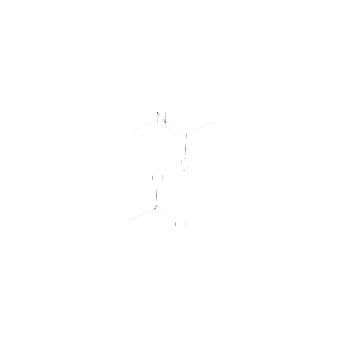 C/N=C(/C)SOC(C)=O